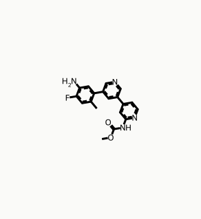 COC(=O)Nc1cc(-c2cncc(-c3cc(N)c(F)cc3C)c2)ccn1